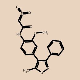 COc1cc(-c2c(-c3ccccc3)noc2C)ccc1NC(=O)C=S(=O)=O